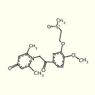 COc1ccc(C(=O)Cn2c(C)cc(=O)cc2C)cc1OCC[S+](C)[O-]